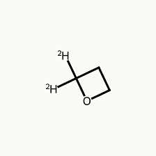 [2H]C1([2H])CCO1